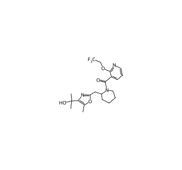 Cc1oc(CC2CCCCN2C(=O)c2cccnc2OCC(F)(F)F)nc1C(C)(C)O